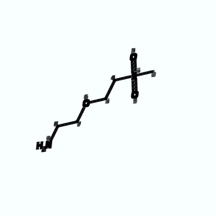 CS(=O)(=O)CCOCCN